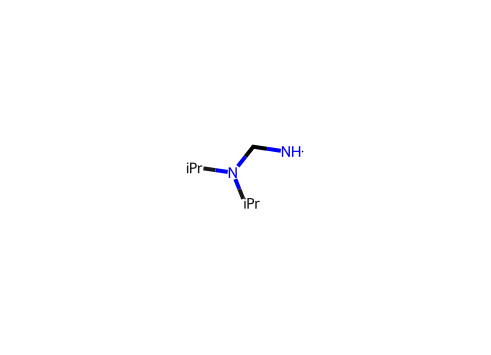 CC(C)N(C[NH])C(C)C